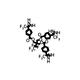 O=C(OCC(COC(=O)c1ccc(C2(C(F)(F)F)NN2)cc1)(COC(=O)c1ccc(C2(C(F)(F)F)NN2)cc1)C(F)(F)C(F)(F)F)c1ccc(C2(C(F)(F)F)NN2)cc1